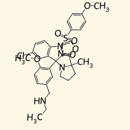 CCNCc1ccc(OC)c(C2(N3CCCC3(C)c3ncco3)C(=O)N(S(=O)(=O)c3ccc(OC)cc3)c3ccc(Cl)cc32)c1